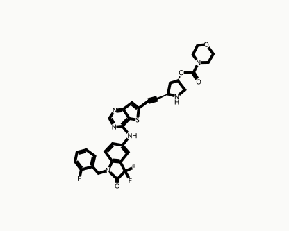 O=C(O[C@@H]1CN[C@@H](C#Cc2cc3ncnc(Nc4ccc5c(c4)C(F)(F)C(=O)N5Cc4ccccc4F)c3s2)C1)N1CCOCC1